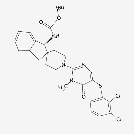 Cn1c(N2CCC3(CC2)Cc2ccccc2[C@H]3NC(=O)OC(C)(C)C)ncc(Sc2cccc(Cl)c2Cl)c1=O